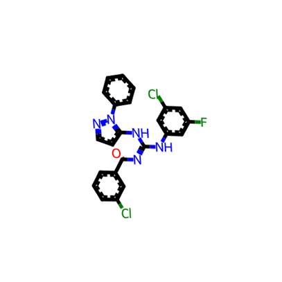 O=C(/N=C(/Nc1cc(F)cc(Cl)c1)Nc1ccnn1-c1ccccc1)c1cccc(Cl)c1